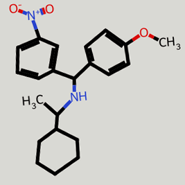 COc1ccc(C(NC(C)C2CCCCC2)c2cccc([N+](=O)[O-])c2)cc1